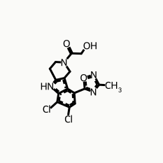 Cc1noc(-c2cc(Cl)c(Cl)c3[nH]c4c(c23)CN(C(=O)CO)CC4)n1